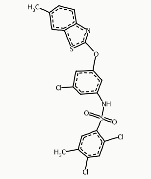 Cc1ccc2nc(Oc3cc(Cl)cc(NS(=O)(=O)c4cc(C)c(Cl)cc4Cl)c3)sc2c1